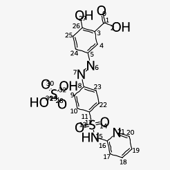 O=C(O)c1cc(N=Nc2ccc(S(=O)(=O)Nc3ccccn3)cc2)ccc1O.O=S(=O)(O)O